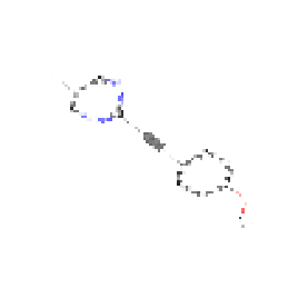 CCCOc1ccc(C#Cc2ncc(CCC)cn2)cc1